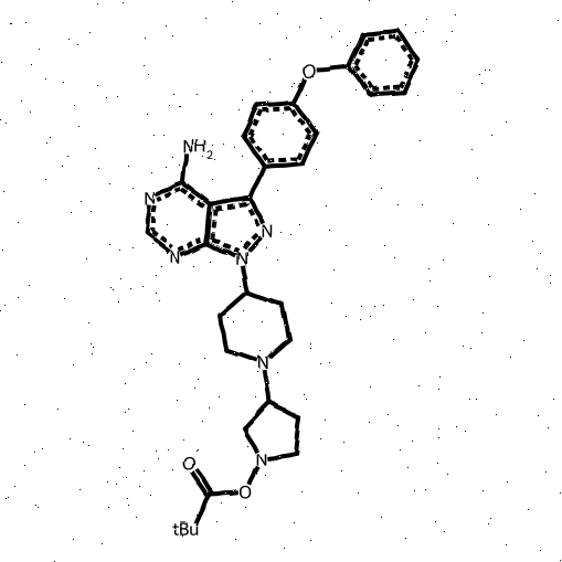 CC(C)(C)C(=O)ON1CCC(N2CCC(n3nc(-c4ccc(Oc5ccccc5)cc4)c4c(N)ncnc43)CC2)C1